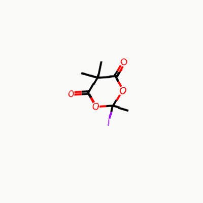 CC1(I)OC(=O)C(C)(C)C(=O)O1